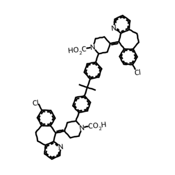 CC(C)(c1ccc(C2CC(=C3c4ccc(Cl)cc4CCc4cccnc43)CCN2C(=O)O)cc1)c1ccc(C2CC(=C3c4ccc(Cl)cc4CCc4cccnc43)CCN2C(=O)O)cc1